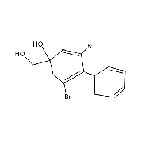 OCC1(O)C=C(Br)C(c2ccccc2)=C(Br)C1